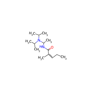 CCC=C(C)C(=O)NC(C)N(C(C)C)C(C)C